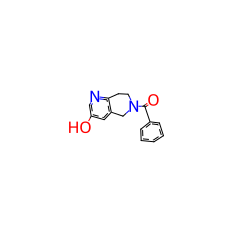 O=C(c1ccccc1)N1CCc2ncc(O)cc2C1